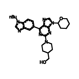 CCCCn1cnc2cc(-c3nc(N4CCC(CO)CC4)nc4c3ncn4C3CCCCO3)ccc21